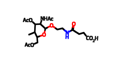 CC(=O)NC1C(OCCNC(=O)CCC(=O)O)OC(COC(C)=O)C(C)C1OC(C)=O